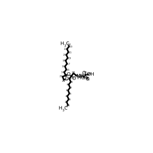 CCCCCCCCCCCC1(OC2(CCCCCCCCCCC)CCO2)CCO1.N.N.O=S(=O)(O)O